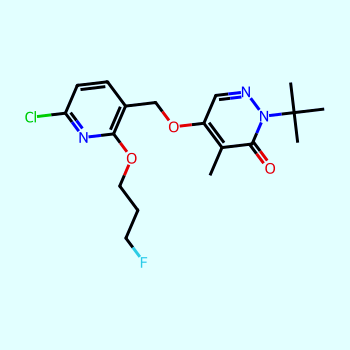 Cc1c(OCc2ccc(Cl)nc2OCCCF)cnn(C(C)(C)C)c1=O